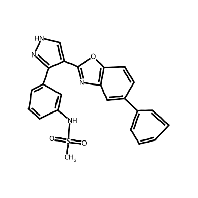 CS(=O)(=O)Nc1cccc(-c2n[nH]cc2-c2nc3cc(-c4ccccc4)ccc3o2)c1